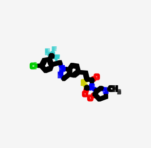 CN1CCC(=O)C(N2C(=O)SC(=Cc3ccc4c(cnn4Cc4ccc(Cl)cc4C(F)(F)F)c3)C2=O)C1